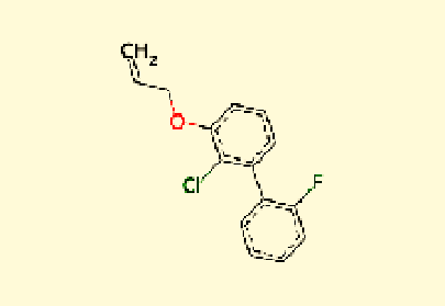 C=CCOc1cccc(-c2ccccc2F)c1Cl